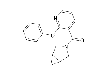 O=C(c1cccnc1Oc1ccccc1)N1CC2CC2C1